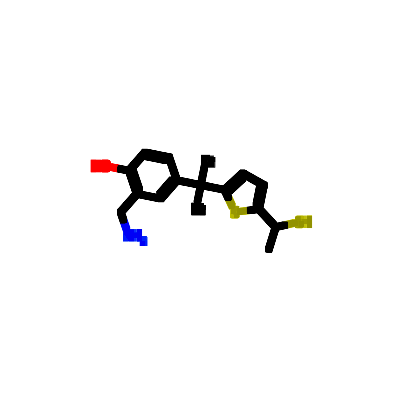 CCC(CC)(c1ccc(O)c(CN)c1)c1ccc(C(C)S)s1